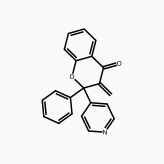 C=C1C(=O)c2ccccc2OC1(c1ccccc1)c1ccncc1